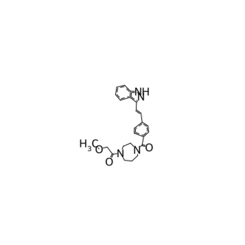 COCC(=O)N1CCCN(C(=O)c2ccc(/C=C/c3n[nH]c4ccccc34)cc2)CC1